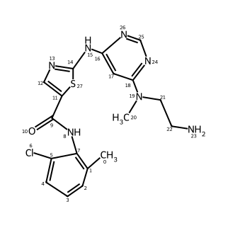 Cc1cccc(Cl)c1NC(=O)c1cnc(Nc2cc(N(C)CCN)ncn2)s1